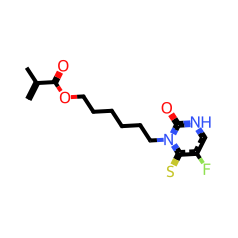 C=C(C)C(=O)OCCCCCCn1c(=O)[nH]cc(F)c1=S